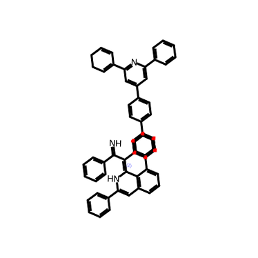 N=C(/C(=C1\NC(c2ccccc2)=Cc2cccc(-c3ccc(-c4ccc(-c5cc(C6=CCCC=C6)nc(-c6ccccc6)c5)cc4)cc3)c21)c1ccccc1)c1ccccc1